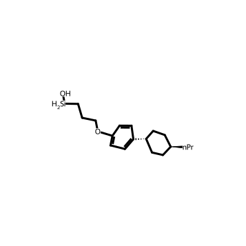 CCC[C@H]1CC[C@H](c2ccc(OCCC[SiH2]O)cc2)CC1